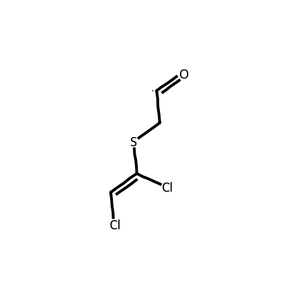 O=[C]CSC(Cl)=CCl